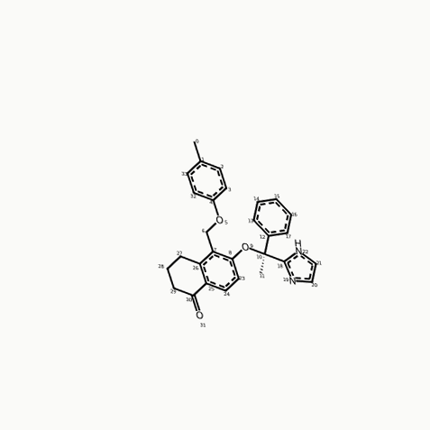 Cc1ccc(OCc2c(O[C@@](C)(c3ccccc3)c3ncc[nH]3)ccc3c2CCCC3=O)cc1